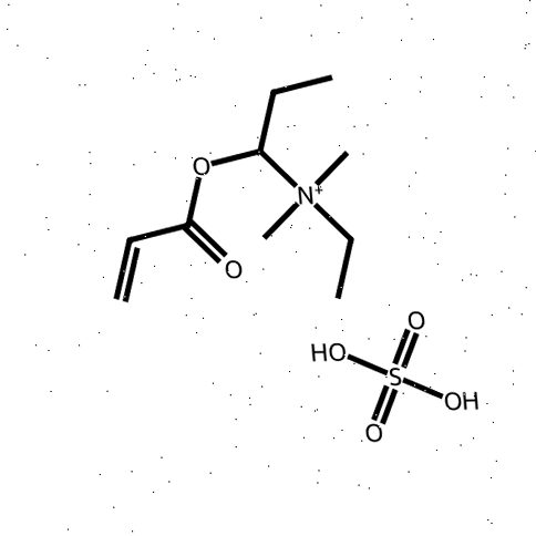 C=CC(=O)OC(CC)[N+](C)(C)CC.O=S(=O)(O)O